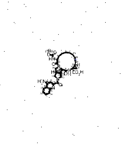 CC(C)(C)OC(=O)N[C@@H]1CCCCC/C=C\[C@H]2C[C@@]2(C(=O)O)NC(=O)[C@@H]2[C@H]3CN(C(=O)c4cc(N)c5ccccc5n4)C[C@H]3CN2C1=O